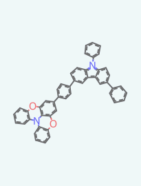 c1ccc(-c2ccc3c(c2)c2cc(-c4ccc(-c5cc6c7c(c5)Oc5ccccc5N7c5ccccc5O6)cc4)ccc2n3-c2ccccc2)cc1